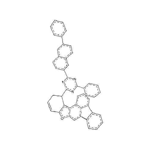 C1=Cc2oc3cc4c5c(cccc5c3c2C(c2nc(-c3ccccc3)nc(-c3ccc5cc(-c6ccccc6)ccc5c3)n2)C1)-c1ccccc1-4